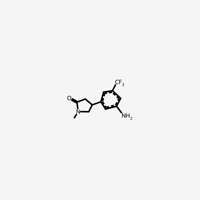 CN1CC(c2cc(N)cc(C(F)(F)F)c2)CC1=O